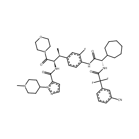 C[C@@H](c1ccc(NC(=O)[C@@H](NC(=O)C(F)(F)c2cccc(C#N)c2)C2CCCCCC2)c(F)c1)[C@@H](NC(=O)c1ccnn1C1CCN(C)CC1)C(=O)N1CCOCC1